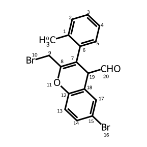 Cc1ccccc1C1=C(CBr)Oc2ccc(Br)cc2C1C=O